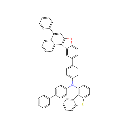 c1ccc(-c2ccc(N(c3ccc(-c4ccc5oc6cc(-c7ccccc7)c7ccccc7c6c5c4)cc3)c3cccc4sc5ccccc5c34)cc2)cc1